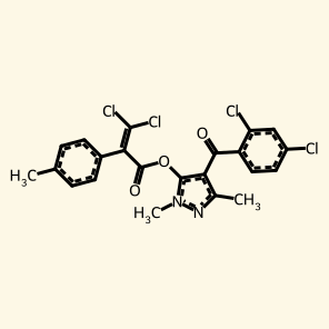 Cc1ccc(C(C(=O)Oc2c(C(=O)c3ccc(Cl)cc3Cl)c(C)nn2C)=C(Cl)Cl)cc1